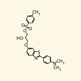 Cc1ccc(S(=O)(=O)OC[C@@H](O)COc2ccc3nc(-c4ccc(N(C)C)cc4)sc3c2)cc1